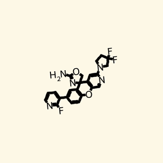 NC1=NC2(CO1)c1cc(-c3cccnc3F)ccc1Oc1cnc(N3CCC(F)(F)C3)cc12